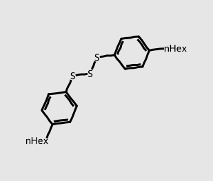 CCCCCCc1ccc(SSSc2ccc(CCCCCC)cc2)cc1